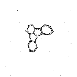 c1ccc2c(c1)c1ccnc3c4ccccc4n2c13